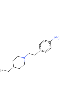 Nc1ccc(CCN2CCC(CC(=O)O)CC2)cc1